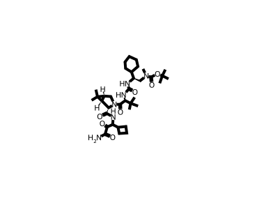 CN(C[C@@H](NC(=O)N[C@H](C(=O)N1C[C@H]2[C@@H]([C@H]1C(=O)NC(C(=O)C(N)=O)C1CCC1)C2(C)C)C(C)(C)C)C1CCCCC1)C(=O)OC(C)(C)C